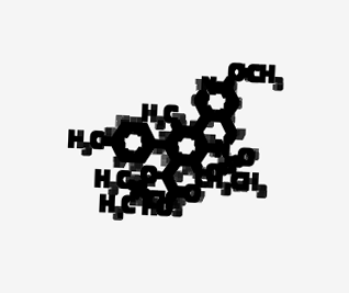 COc1cc2c(cn1)-c1c(C)c(-c3ccc(C)cc3)c([C@H](OC(C)(C)C)C(=O)O)c(C)c1N(S(C)(=O)=O)C2